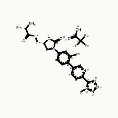 CC(C)[C@H](N)C(=O)OC[C@H]1CN(c2ccc(-c3ccc(-c4nnnn4C)nc3)c(F)c2)C(=O)O1.O=C(O)C(F)(F)F